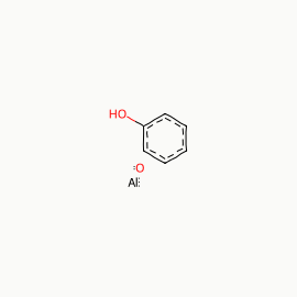 Oc1ccccc1.[Al].[O]